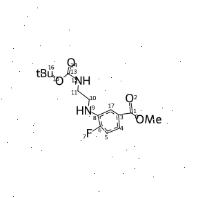 COC(=O)c1ccc(F)c(NCCNC(=O)OC(C)(C)C)c1